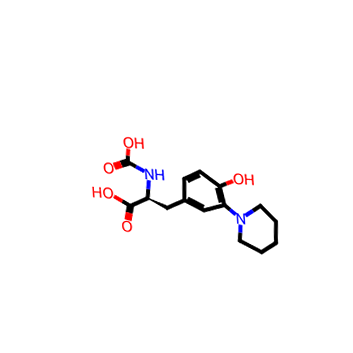 O=C(O)N[C@@H](Cc1ccc(O)c(N2CCCCC2)c1)C(=O)O